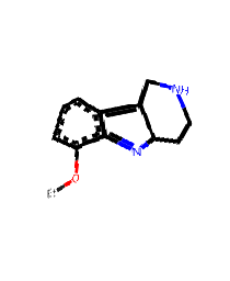 CCOc1cccc2c1=NC1CCNCC=21